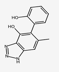 Cc1cc2[nH]nnc2c(O)c1-c1ccccc1O